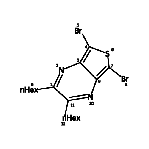 CCCCCCc1nc2c(Br)sc(Br)c2nc1CCCCCC